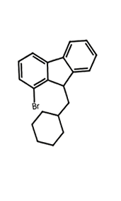 Brc1cccc2c1C(CC1CCCCC1)c1ccccc1-2